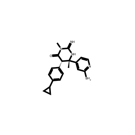 Bc1cc([C@@]2(C)NC(=N)N(C)C(=O)[C@H]2c2ccc(C3CC3)cc2)ccn1